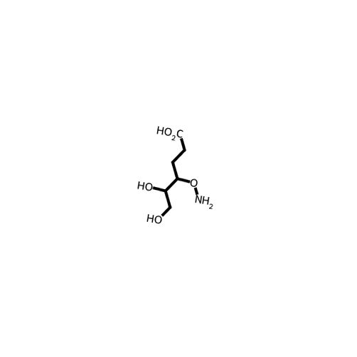 NOC(CCC(=O)O)C(O)CO